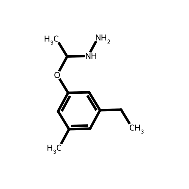 CCc1cc(C)cc(OC(C)NN)c1